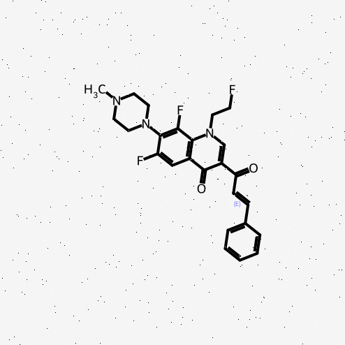 CN1CCN(c2c(F)cc3c(=O)c(C(=O)/C=C/c4ccccc4)cn(CCF)c3c2F)CC1